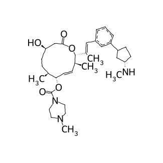 CN[C@H]1CCC(c2cccc(/C=C(\C)[C@H]3OC(=O)C[C@H](O)CC[C@H](C)[C@@H](OC(=O)N4CCN(C)CC4)/C=C/[C@@H]3C)c2)C1